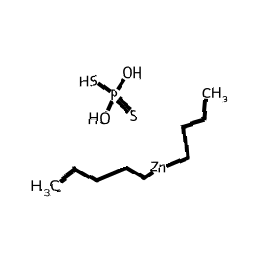 CCCC[CH2][Zn][CH2]CCC.OP(O)(=S)S